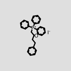 O=C(CCc1ccccc1)C[P+](c1ccccc1)(c1ccccc1)c1ccccc1.[I-]